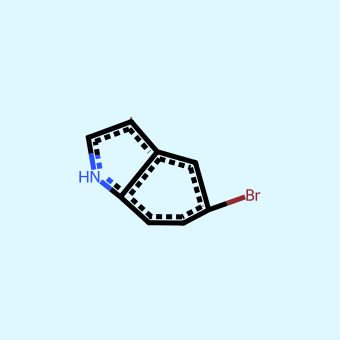 Brc1ccc2[nH]c[c]c2c1